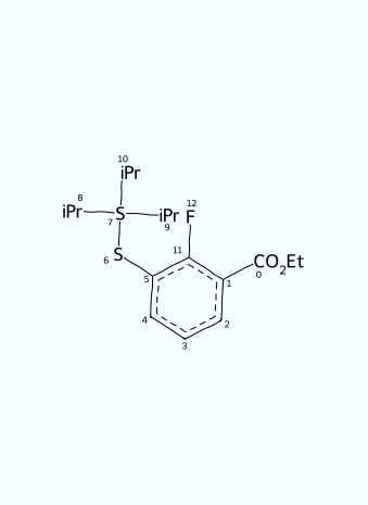 CCOC(=O)c1cccc(SS(C(C)C)(C(C)C)C(C)C)c1F